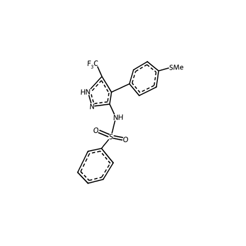 CSc1ccc(-c2c(NS(=O)(=O)c3ccccc3)n[nH]c2C(F)(F)F)cc1